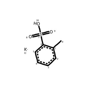 Cc1ccccc1S(=O)(=O)O.[K]